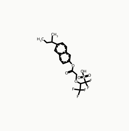 CCC(C)c1ccc2cc(OC(=O)COC(C(F)(F)F)C(F)(F)S(=O)(=O)O)ccc2c1